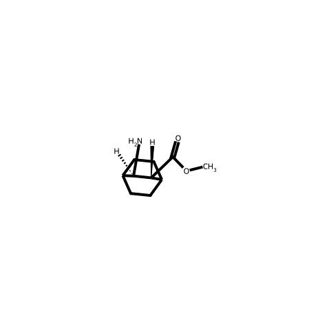 COC(=O)[C@@H]1C2CCC(CC2)[C@H]1N